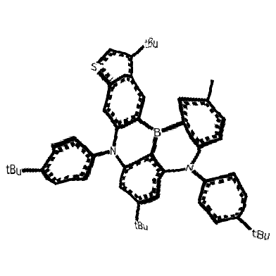 Cc1ccc2c(c1)B1c3cc4c(C(C)(C)C)csc4cc3N(c3ccc(C(C)(C)C)cc3)c3cc(C(C)(C)C)cc(c31)N2c1ccc(C(C)(C)C)cc1